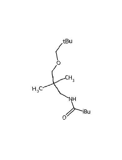 CCC(C)C(=O)NCC(C)(C)COCC(C)(C)C